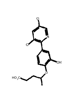 CC(CCC(=O)O)Oc1ccc(-c2ncc(Cl)cc2Cl)cc1O